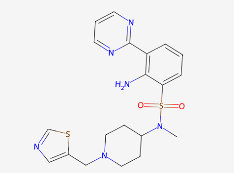 CN(C1CCN(Cc2cncs2)CC1)S(=O)(=O)c1cccc(-c2ncccn2)c1N